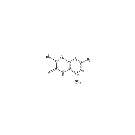 CC(C)(C)OC(=O)Nc1c(Cl)cc(Br)cc1[N+](=O)[O-]